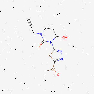 C#CCN1CCC(O)N(c2nnc([S+](C)[O-])s2)C1=O